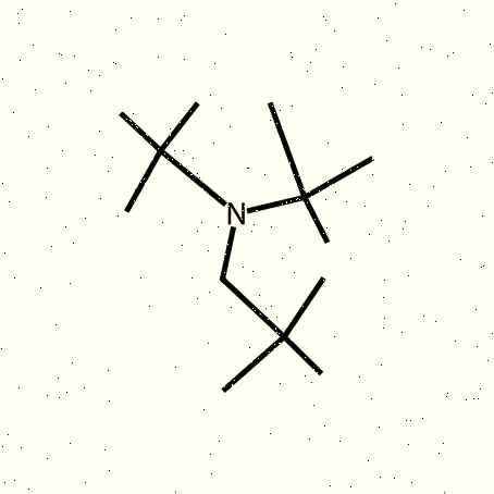 CC(C)(C)CN(C(C)(C)C)C(C)(C)C